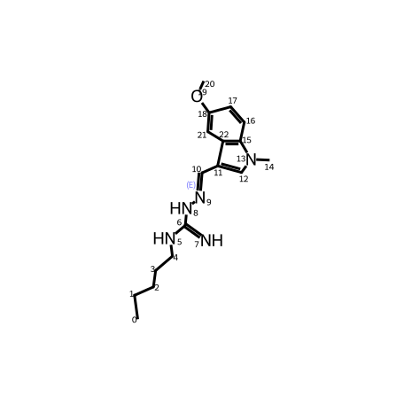 CCCCCNC(=N)N/N=C/c1cn(C)c2ccc(OC)cc12